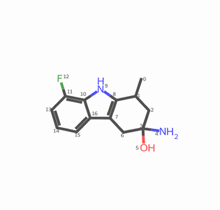 CC1CC(N)(O)Cc2c1[nH]c1c(F)cccc21